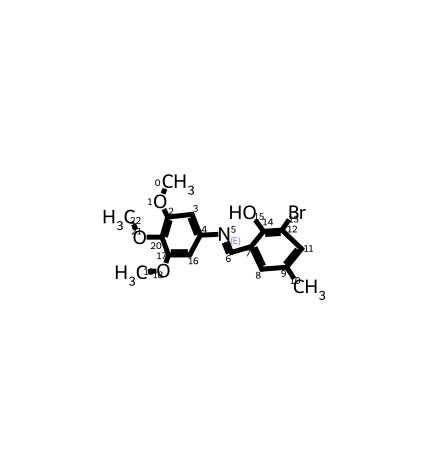 COc1cc(/N=C/c2cc(C)cc(Br)c2O)cc(OC)c1OC